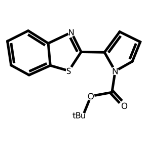 CC(C)(C)OC(=O)n1cccc1-c1nc2ccccc2s1